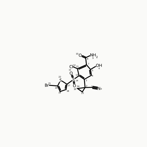 N#CC1(c2cc(O)c(C(N)=O)c(Cl)c2S(=O)(=O)c2ccc(Br)s2)CC1